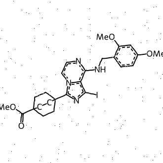 COC(=O)C12CCC(c3nc(I)c4c(NCc5ccc(OC)cc5OC)nccn34)(CC1)CC2